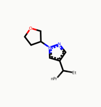 CCCC(CC)c1cnn(C2CCOC2)c1